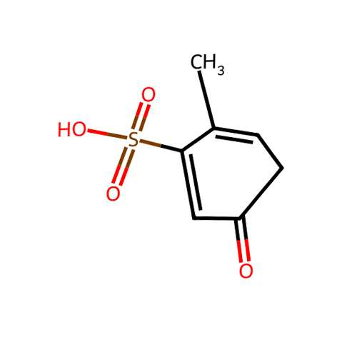 CC1=CCC(=O)C=C1S(=O)(=O)O